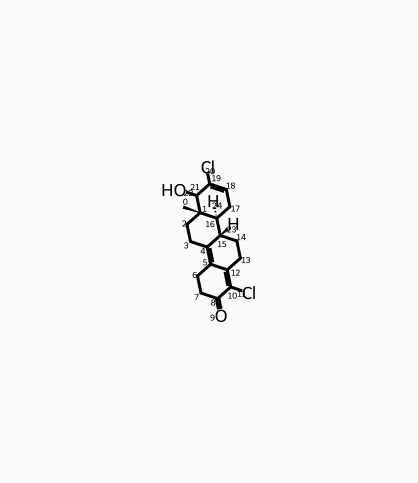 C[C@]12CCC3=C4CCC(=O)C(Cl)=C4CC[C@H]3[C@@H]1CC=C(Cl)C2O